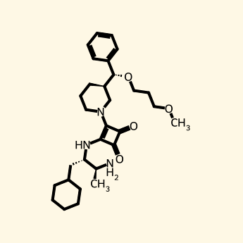 COCCCO[C@@H](c1ccccc1)[C@@H]1CCCN(c2c(N[C@@H](CC3CCCCC3)[C@H](C)N)c(=O)c2=O)C1